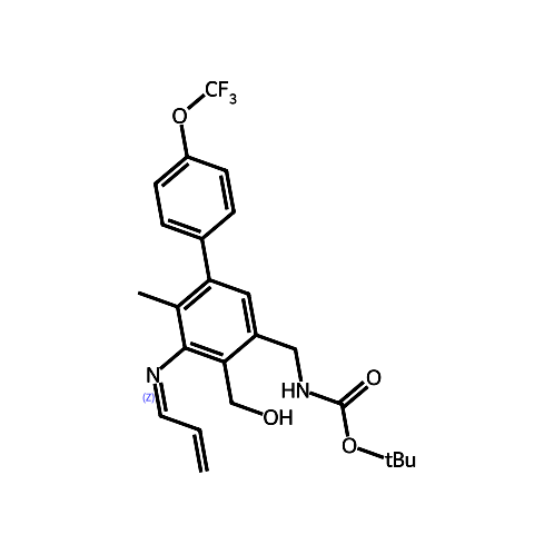 C=C/C=N\c1c(C)c(-c2ccc(OC(F)(F)F)cc2)cc(CNC(=O)OC(C)(C)C)c1CO